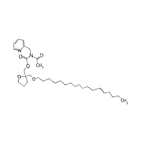 CCCCCCCCCCCCCCCCCCOCC1(COC(=O)N(Cc2ccccn2)C(C)=O)CCCO1